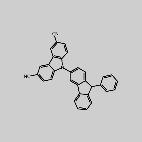 N#Cc1ccc2c(c1)c1cc(C#N)ccc1n2-c1ccc2c(c1)-c1ccccc1C2c1ccccc1